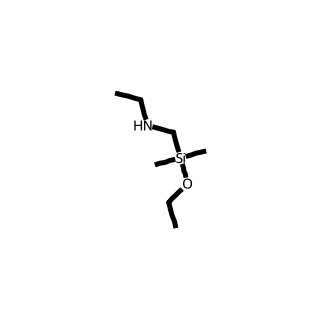 CCNC[Si](C)(C)OCC